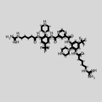 N=C(N)NCCCCC(=O)Nc1cc(C(F)(F)F)cc(NC(=O)c2cc(C(=O)Nc3cc(C(F)(F)F)cc(NC(=O)CCCCNC(=N)N)c3N3CCNCC3)ncn2)c1N1CCNCC1